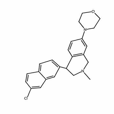 CN1Cc2cc(N3CCOCC3)ccc2C(c2ccc3ccc(Cl)cc3c2)C1